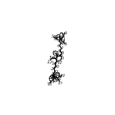 CCO[Si](CCCCCCC(CC)C(=O)C(CC)CCCCCC[Si](OCC)(OCC)OCC)(OCC)OCC